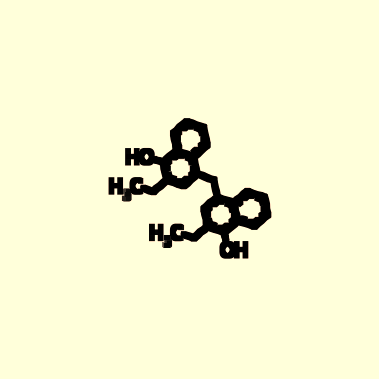 CCc1cc(Cc2cc(CC)c(O)c3ccccc23)c2ccccc2c1O